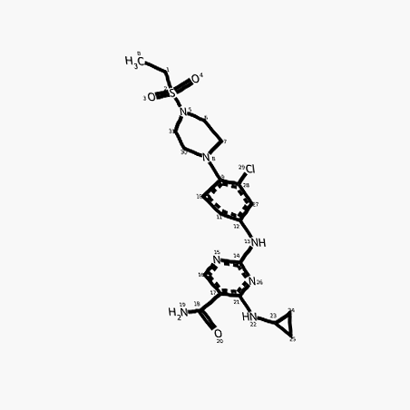 CCS(=O)(=O)N1CCN(c2ccc(Nc3ncc(C(N)=O)c(NC4CC4)n3)cc2Cl)CC1